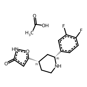 CC(=O)O.O=c1cc([C@H]2CCN[C@@H](c3ccc(F)c(F)c3)C2)o[nH]1